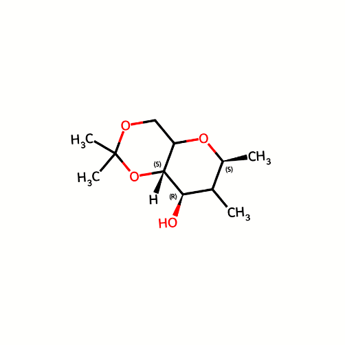 CC1[C@H](C)OC2COC(C)(C)O[C@H]2[C@@H]1O